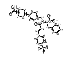 CC(=O)N1CCN(c2ccc(CN(C(=O)C=Cc3ccc(C(F)(F)F)nc3)C(Cc3ccccc3)C(=O)O)cc2)CC1